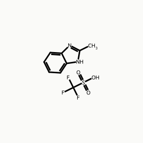 Cc1nc2ccccc2[nH]1.O=S(=O)(O)C(F)(F)F